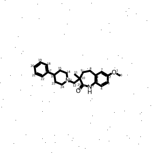 COc1ccc2c(c1)CCC(C)(CN1CCC(c3ccccc3)CC1)C(=O)N2